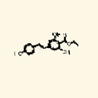 CCOC(=O)c1c(O)cc(/C=C/c2ccc(O)cc2)cc1O